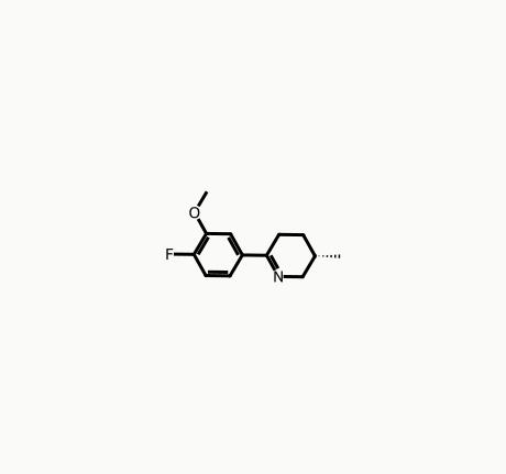 COc1cc(C2=NC[C@@H](C)CC2)ccc1F